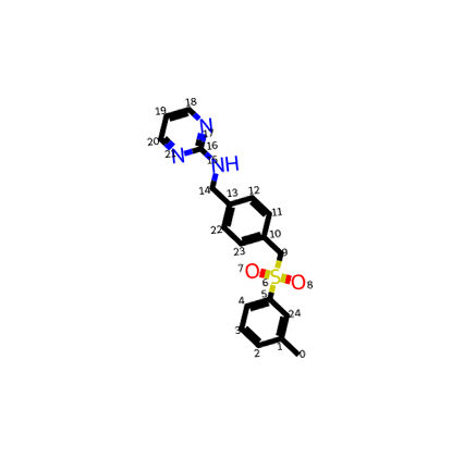 Cc1cccc(S(=O)(=O)Cc2ccc(CNc3ncccn3)cc2)c1